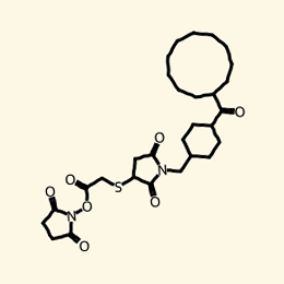 O=C(CSC1CC(=O)N(CC2CCC(C(=O)C3CCCCCCCCCC3)CC2)C1=O)ON1C(=O)CCC1=O